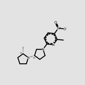 Cc1nc(N2CC[C@H](N3CCC[C@@H]3C)C2)ccc1[N+](=O)[O-]